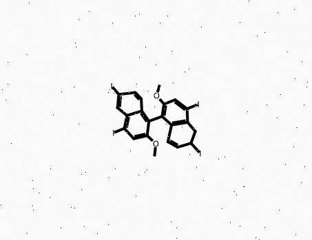 COc1cc(I)c2c(c1-c1c(OC)cc(I)c3cc(I)ccc13)C=CC(I)C2